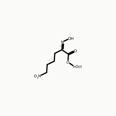 CCCCCCCCOC(=O)/C(CCCC[N+](=O)[O-])=N\O